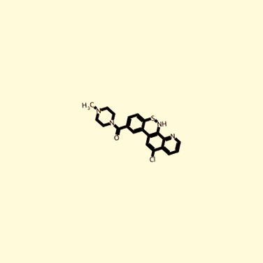 CN1CCN(C(=O)c2ccc3c(c2)-c2cc(Cl)c4cccnc4c2NS3)CC1